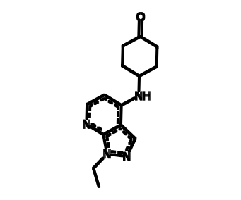 CCn1ncc2c(NC3CCC(=O)CC3)ccnc21